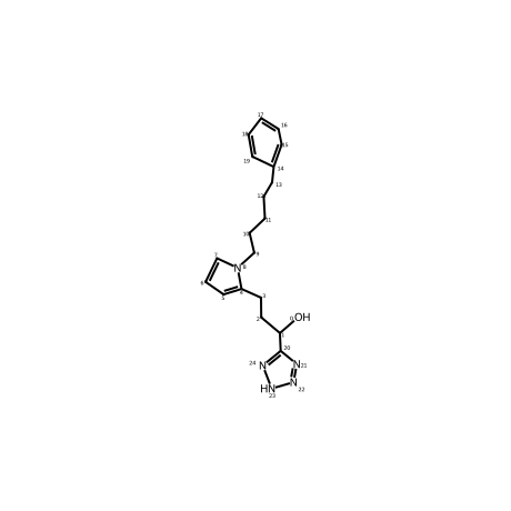 OC(CCc1cccn1CCCCCc1ccccc1)c1nn[nH]n1